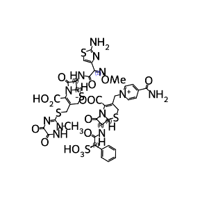 CO/N=C(\C(=O)N[C@@H]1C(=O)N2C(C(=O)O)=C(CSc3nc(=O)c(=O)[nH]n3C)CS[C@H]12)c1csc(N)n1.NC(=O)c1cc[n+](CC2=C(C(=O)[O-])N3C(=O)[C@@H](NC(=O)[C@@H](c4ccccc4)S(=O)(=O)O)[C@H]3SC2)cc1